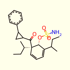 CCC(C)C1=CC=C[C@](C(=O)C2CC2c2ccccc2)(C(C)CC)[C@@H]1OS(N)(=O)=O